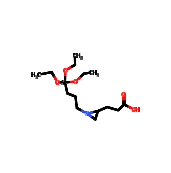 CCO[Si](CCCN1CC1CCC(=O)O)(OCC)OCC